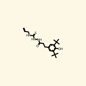 C=CCNC(=S)NNC(=O)CCc1cc(C(C)(C)C)c(O)c(C(C)(C)C)c1